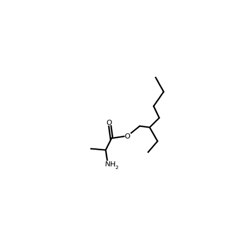 CCCCC(CC)COC(=O)C(C)N